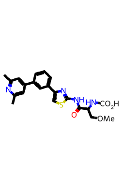 COCC(NC(=O)O)C(=O)Nc1nc(-c2cccc(-c3cc(C)nc(C)c3)c2)cs1